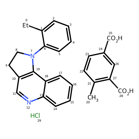 CCc1ccccc1N1CCc2cnc3ccccc3c21.Cc1ccc(C(=O)O)cc1C(=O)O.Cl